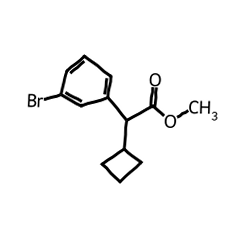 COC(=O)C(c1cccc(Br)c1)C1CCC1